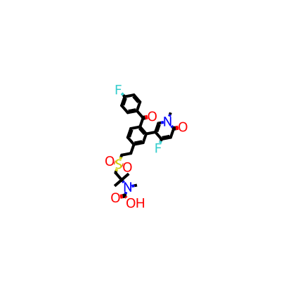 CN(C(=O)O)C(C)(C)CS(=O)(=O)CCc1ccc(C(=O)c2ccc(F)cc2)c(-c2cn(C)c(=O)cc2F)c1